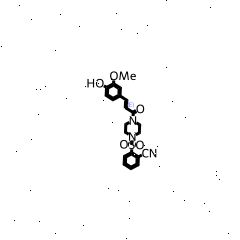 COc1cc(/C=C/C(=O)N2CCN(S(=O)(=O)c3ccccc3C#N)CC2)ccc1O